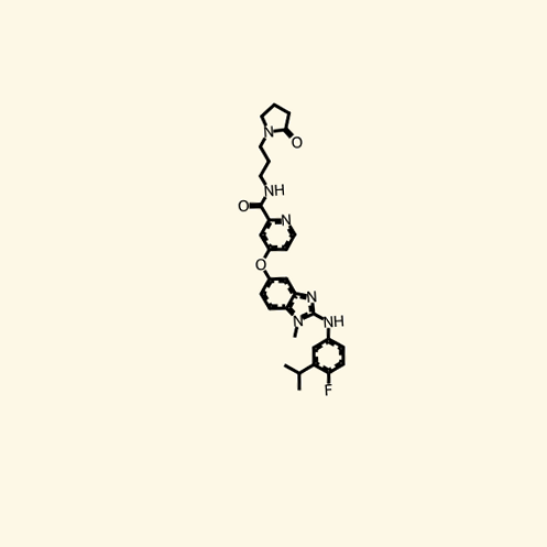 CC(C)c1cc(Nc2nc3cc(Oc4ccnc(C(=O)NCCCN5CCCC5=O)c4)ccc3n2C)ccc1F